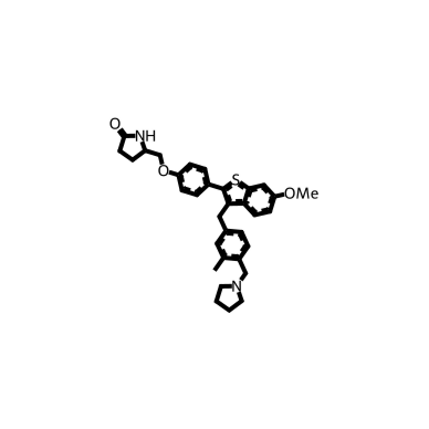 COc1ccc2c(Cc3ccc(CN4CCCC4)c(C)c3)c(-c3ccc(OCC4CCC(=O)N4)cc3)sc2c1